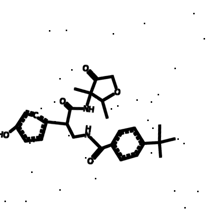 CC1OCC(=O)C1(C)NC(=O)C(CNC(=O)c1ccc(C(C)(C)C)cc1)c1ccc(O)cc1